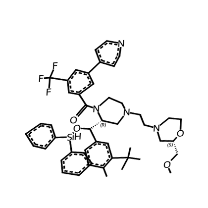 COC[C@@H]1CN(CCN2CCN(C(=O)c3cc(-c4ccncc4)cc(C(F)(F)F)c3)[C@@H](C(O[SiH](c3ccccc3)c3ccccc3)c3ccc(C)c(C(C)(C)C)c3)C2)CCO1